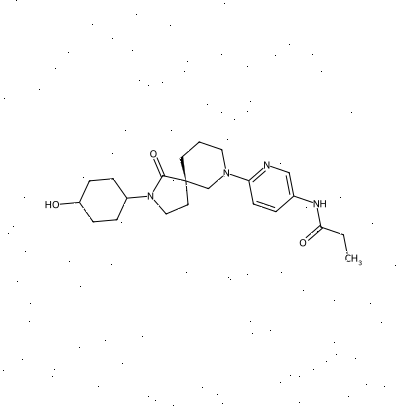 CCC(=O)Nc1ccc(N2CCC[C@]3(CCN(C4CCC(O)CC4)C3=O)C2)nc1